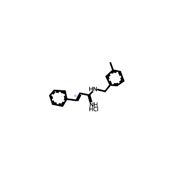 Cc1cccc(CNC(=N)/C=C/c2ccccc2)c1.Cl